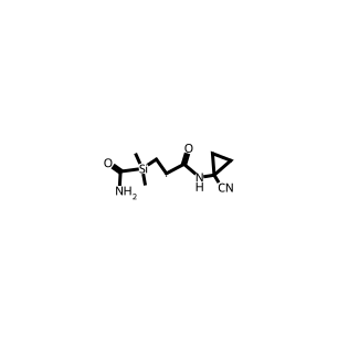 C[Si](C)(C[CH]C(=O)NC1(C#N)CC1)C(N)=O